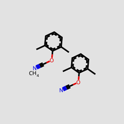 C.Cc1cccc(C)c1OC#N.Cc1cccc(C)c1OC#N